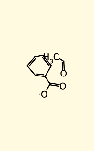 CC=O.[O]C(=O)c1ccccc1